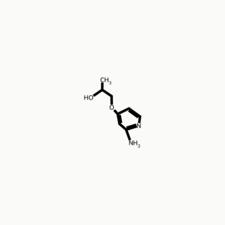 CC(O)COc1ccnc(N)c1